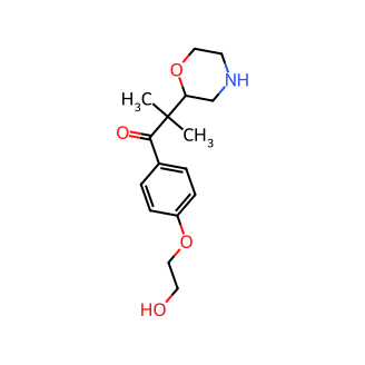 CC(C)(C(=O)c1ccc(OCCO)cc1)C1CNCCO1